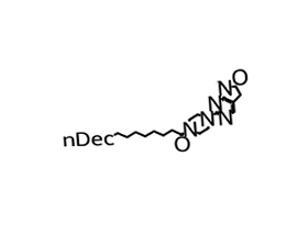 CCCCCCCCCCCCCCCCCC(=O)N1CCN(c2ncc3c(n2)N(C)C(=O)C3)CC1